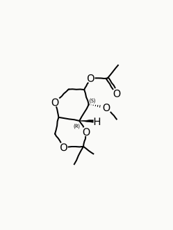 CO[C@H]1C(OC(C)=O)COC2COC(C)(C)O[C@H]21